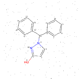 Oc1ccn(C(c2ccccc2)c2ccccc2)n1